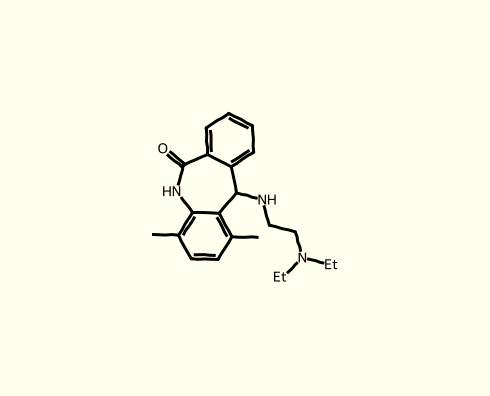 CCN(CC)CCNC1c2ccccc2C(=O)Nc2c(C)ccc(C)c21